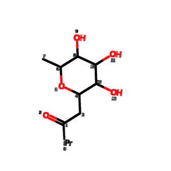 CC(C)C(=O)CC1OC(C)C(O)C(O)C1O